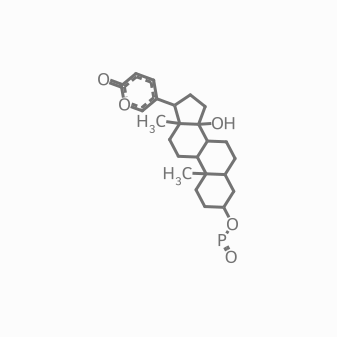 CC12CCC(OP=O)CC1CCC1C2CCC2(C)C(c3ccc(=O)oc3)CCC12O